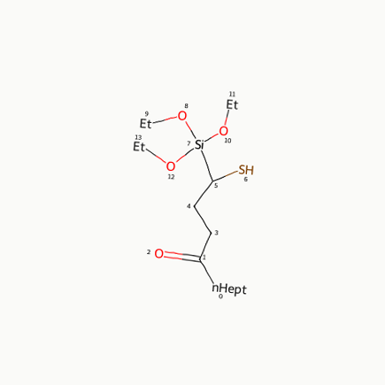 CCCCCCCC(=O)CCC(S)[Si](OCC)(OCC)OCC